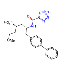 COCC[C@H](C[C@@H](Cc1ccc(-c2ccccc2)cc1)NC(=O)c1c[nH]nn1)C(=O)O